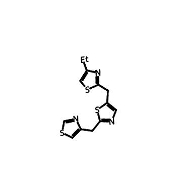 CCc1csc(Cc2cnc(Cc3cscn3)s2)n1